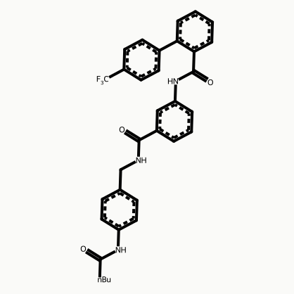 CCCCC(=O)Nc1ccc(CNC(=O)c2cccc(NC(=O)c3ccccc3-c3ccc(C(F)(F)F)cc3)c2)cc1